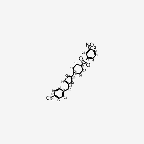 O=[N+]([O-])c1cccc(S(=O)(=O)C2CCN(c3nc(Cc4ccc(Cl)cc4)cs3)CC2)c1